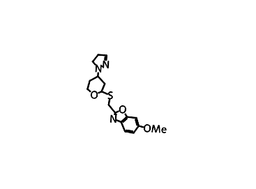 COc1ccc2nc(CSC3CC(N4CCC=N4)CCO3)oc2c1